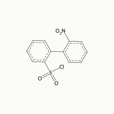 O=[N+]([O-])c1ccccc1-c1ccccc1S(=O)(=O)Cl